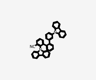 N#Cc1cccc(-c2ccccc2-c2cccc(-n3c4ccccc4c4ccccc43)c2)c1-n1c2ccccc2c2ccccc21